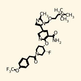 Cc1ncc(-c2cnc(O[C@H]3CCN(C(=O)Cc4ccc(OC(F)(F)F)cc4)C[C@H]3F)c(C(N)=O)c2)n1COCC[Si](C)(C)C